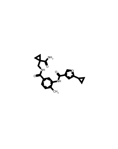 Cc1ccc(C(=O)NCC2(C(N)=O)CC2)cc1NC(=O)c1coc(C2CC2)c1